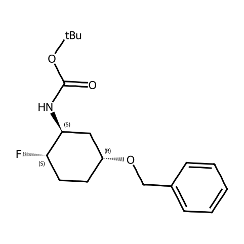 CC(C)(C)OC(=O)N[C@H]1C[C@H](OCc2ccccc2)CC[C@@H]1F